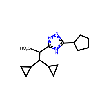 O=C(O)C(c1nnc(C2CCCC2)[nH]1)C(C1CC1)C1CC1